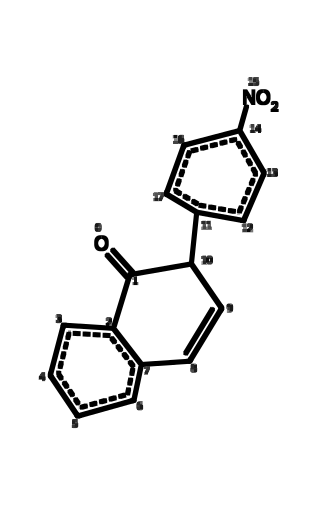 O=C1c2ccccc2C=CC1c1ccc([N+](=O)[O-])cc1